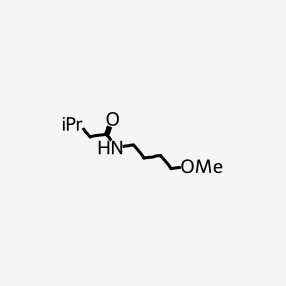 COCCCCNC(=O)CC(C)C